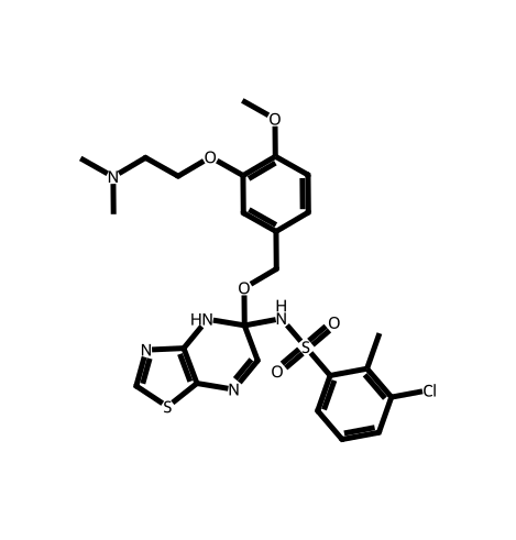 COc1ccc(COC2(NS(=O)(=O)c3cccc(Cl)c3C)C=Nc3scnc3N2)cc1OCCN(C)C